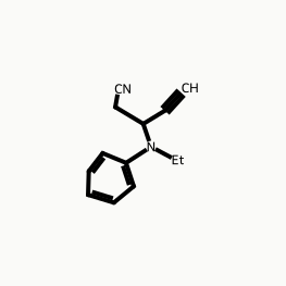 C#CC(CC#N)N(CC)c1ccccc1